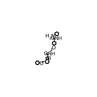 Nc1ccccc1NC(=O)c1ccc(OCCCNC(=O)c2cc3c(COc4ccccc4)cccc3o2)cc1